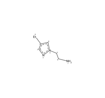 CCc1cnn(CCN)c1